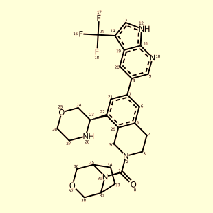 O=C(N1CCc2cc(-c3cnc4[nH]cc(C(F)(F)F)c4c3)cc([C@@H]3COCCN3)c2C1)N1C2CCC1COC2